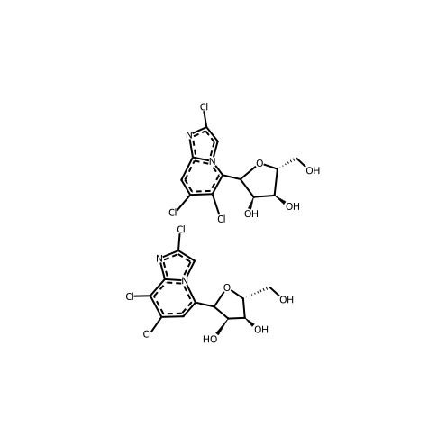 OC[C@H]1OC(c2c(Cl)c(Cl)cc3nc(Cl)cn23)[C@H](O)[C@@H]1O.OC[C@H]1OC(c2cc(Cl)c(Cl)c3nc(Cl)cn23)[C@H](O)[C@@H]1O